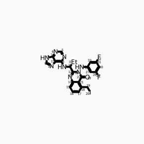 CCC(Nc1ncnc2[nH]cnc12)c1nc2cccc(CI)c2c(=O)n1Nc1cc(F)cc(F)c1